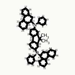 CC1(C)c2cc(N(c3ccccc3)c3cc4ccccc4c4ccccc34)ccc2-c2ccc(N(c3ccccc3)c3cc4ccccc4c4ccccc34)cc21